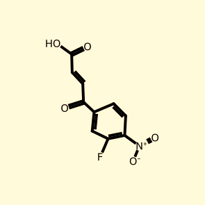 O=C(O)/C=C/C(=O)c1ccc([N+](=O)[O-])c(F)c1